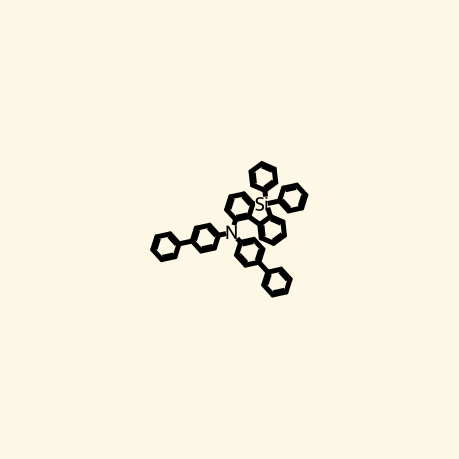 c1ccc(-c2ccc(N(c3ccc(-c4ccccc4)cc3)c3cccc4c3-c3ccccc3[Si]4(c3ccccc3)c3ccccc3)cc2)cc1